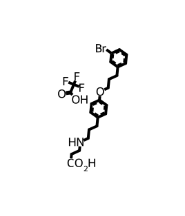 O=C(O)C(F)(F)F.O=C(O)CCNCCCc1ccc(OCCCc2cccc(Br)c2)cc1